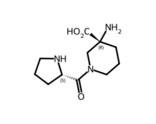 N[C@]1(C(=O)O)CCCN(C(=O)[C@@H]2CCCN2)C1